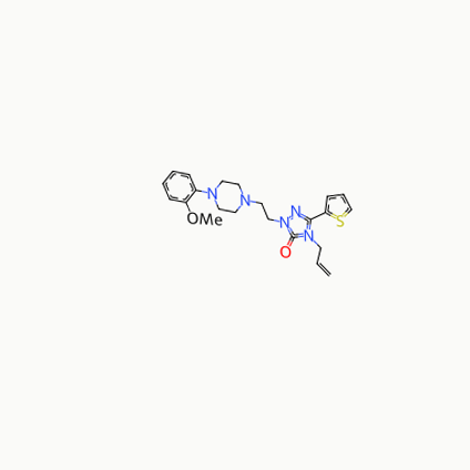 C=CCn1c(-c2cccs2)nn(CCN2CCN(c3ccccc3OC)CC2)c1=O